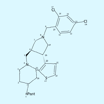 CCCCCC1CCN(C[C@H]2CN(Cc3ccc(Cl)cc3Cl)C[C@@H]2c2ccsc2)CC1